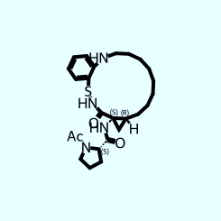 CC(=O)N1CCC[C@H]1C(=O)N[C@@]12C[C@H]1CCCCCCCCNc1ccccc1SNC2=O